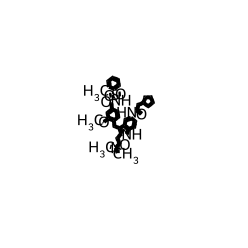 COc1cc(C(=O)NS(=O)(=O)c2ccccc2C)ccc1Cc1c(CC(=O)N(C)C)[nH]c2ccc(NC(=O)CC3CCCC3)cc12